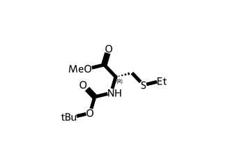 CCSC[C@H](NC(=O)OC(C)(C)C)C(=O)OC